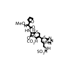 CON=C(C(=O)NC1C(=O)N2C(C(=O)O)=C(C(CCCNS(=O)(=O)O)Sc3nnn[nH]3)CS[C@@H]12)c1ccco1